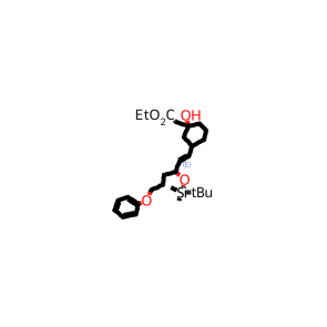 CCOC(=O)CC1(O)CCCC(/C=C/C(CCCOc2ccccc2)O[Si](C)(C)C(C)(C)C)C1